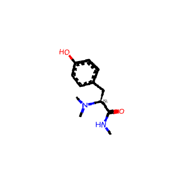 CNC(=O)[C@H](Cc1ccc(O)cc1)N(C)C